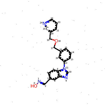 ON=Cc1ccc2c(c1)ncn2-c1cccc(COCc2cccnc2)c1